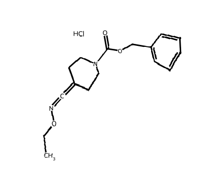 CCON=C=C1CCN(C(=O)OCc2ccccc2)CC1.Cl